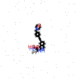 CC(C)C(NC1=CC2CC(C#Cc3ccc(CN4CCOCC4)cc3)=CC=C2C=N1)C(=O)NO